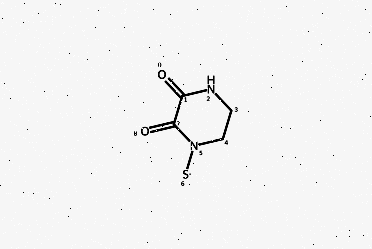 O=C1NCCN([S])C1=O